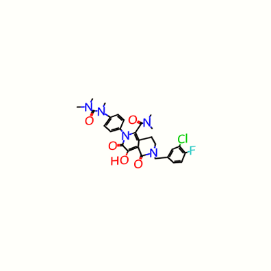 CN(C)C(=O)c1c2c(c(O)c(=O)n1-c1ccc(N(C)C(=O)N(C)C)cc1)C(=O)N(Cc1ccc(F)c(Cl)c1)CC2